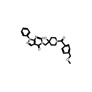 COCc1ccc(C(=O)N2CCC(O)(Cn3cnc4c(cnn4-c4ccccc4)c3=O)CC2)cc1